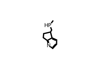 CPCC1CCc2ncccc21